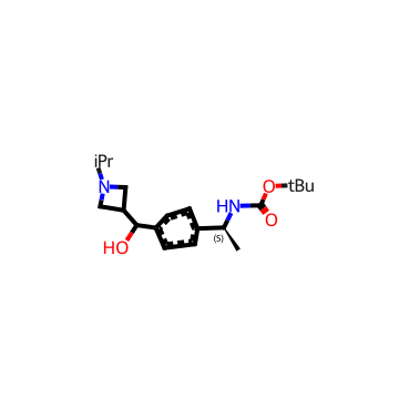 CC(C)N1CC(C(O)c2ccc([C@H](C)NC(=O)OC(C)(C)C)cc2)C1